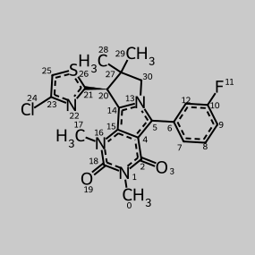 Cn1c(=O)c2c(-c3cccc(F)c3)n3c(c2n(C)c1=O)[C@@H](c1nc(Cl)cs1)C(C)(C)C3